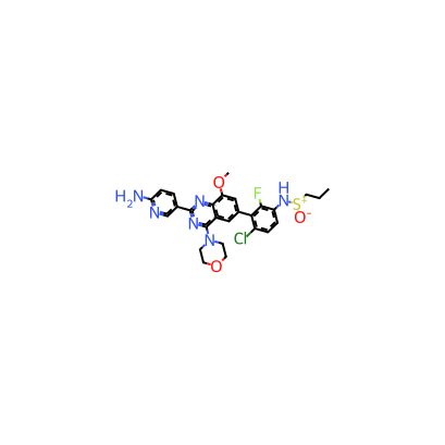 CCC[S+]([O-])Nc1ccc(Cl)c(-c2cc(OC)c3nc(-c4ccc(N)nc4)nc(N4CCOCC4)c3c2)c1F